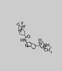 CN(N)/C=C(\N)c1ccc2cnc(NC(=O)C3CCN(CC4(C(F)(F)F)CC4)CC3)cc2c1